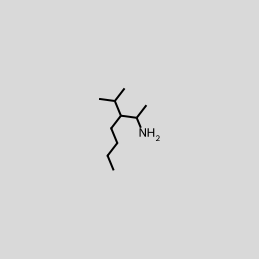 CCCCC(C(C)C)C(C)N